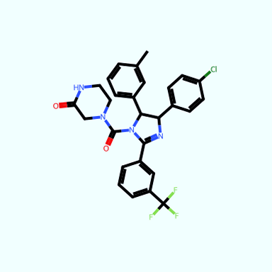 Cc1cccc(C2C(c3ccc(Cl)cc3)N=C(c3cccc(C(F)(F)F)c3)N2C(=O)N2CCNC(=O)C2)c1